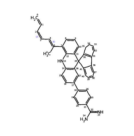 C=C/C=C\C=C(/C)c1cccc2c1Nc1ccc(-c3ccc(C(=N)N)cc3)cc1C21C2=C(C=CCC2)c2ccccc21